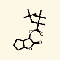 CC(C)(C)CC(C)(C(=O)OC1C(=O)OC2CCCC21)C(C)(C)C